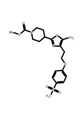 Cc1sc(C2CCN(C(=O)OC(C)(C)C)CC2)nc1CCOc1ccc(S(C)(=O)=O)cc1